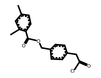 Cc1ccc(C(=O)OCc2ccc(CC(=O)Cl)cc2)c(C)c1